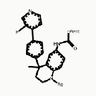 CCCCCC(=O)Nc1ccc2c(c1)C(C)(c1ccc(-c3ccncc3F)cc1)CCN2C(C)=O